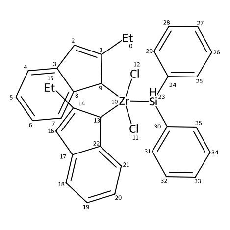 CCC1=Cc2ccccc2[CH]1[Zr]([Cl])([Cl])([CH]1C(CC)=Cc2ccccc21)[SiH](c1ccccc1)c1ccccc1